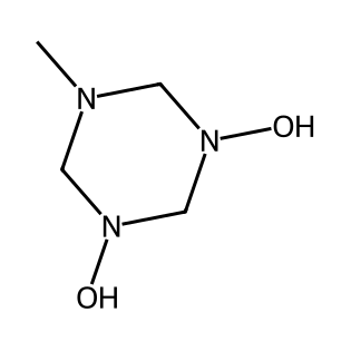 CN1CN(O)CN(O)C1